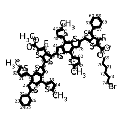 COC(=O)c1sc2c(-c3cc4c(-c5ccc(C)s5)c5sc(-c6ccccc6)cc5c(-c5ccc(C)s5)c4s3)sc(-c3cc4c(-c5ccc(C)s5)c5sc(-c6sc(-c7ccccc7)c7c(F)c(C(=O)OCCCCCCBr)sc67)cc5c(-c5ccc(C)s5)c4s3)c2c1F